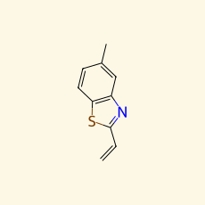 C=Cc1nc2cc(C)ccc2s1